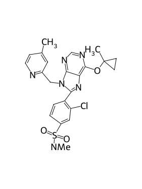 CNS(=O)(=O)c1ccc(-c2nc3c(OC4(C)CC4)ncnc3n2Cc2cc(C)ccn2)c(Cl)c1